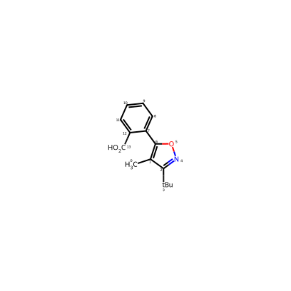 Cc1c(C(C)(C)C)noc1-c1ccccc1C(=O)O